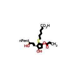 C=CC(=O)OC1=C(SCCCCCC(=O)O)[C@@H](C=C[C@@H](O)CCCCC)[C@H](O)C1